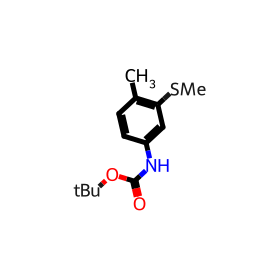 CSc1cc(NC(=O)OC(C)(C)C)ccc1C